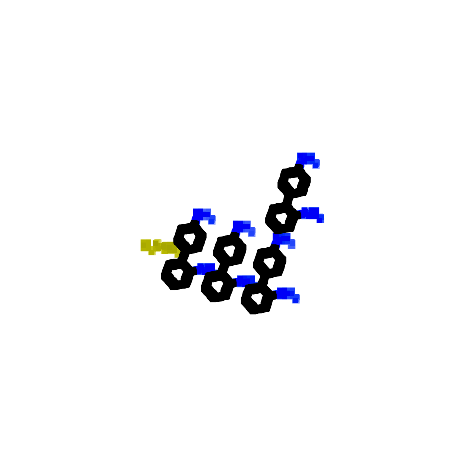 Nc1ccc(-c2ccccc2N)cc1.Nc1ccc(-c2ccccc2N)cc1.Nc1ccc(-c2ccccc2N)cc1.Nc1ccc(-c2ccccc2N)cc1.S.S